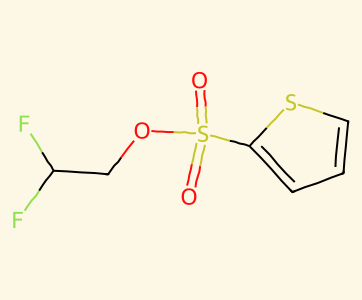 O=S(=O)(OCC(F)F)c1cccs1